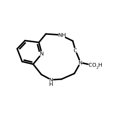 O=C(O)N1CCNCc2cccc(n2)CNCC1